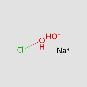 OCl.[Na+].[OH-]